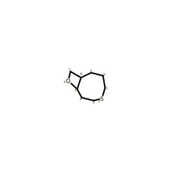 C1CSCCC2OCC2C1